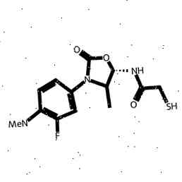 CNc1ccc(N2C(=O)O[C@H](NC(=O)CS)C2C)cc1F